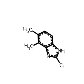 Cc1ccc2[nH]c(Cl)nc2c1C